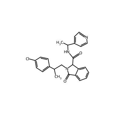 CC(CN1C(=O)c2ccccc2C1C(=O)NC(C)c1ccncc1)c1ccc(Cl)cc1